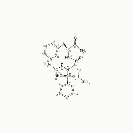 CCC[C@@H](C(=O)N[C@@H](Cc1ccccc1)C(N)=O)N(NC(=N)N)S(=O)(=O)c1ccccc1